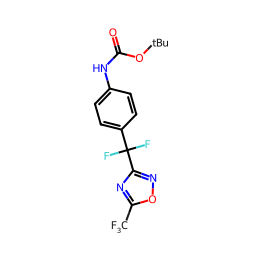 CC(C)(C)OC(=O)Nc1ccc(C(F)(F)c2noc(C(F)(F)F)n2)cc1